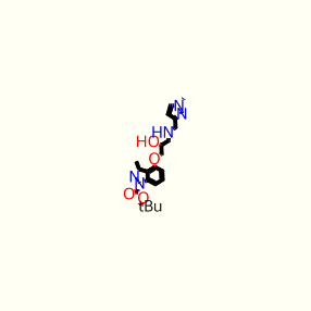 Cc1nn(C(=O)OC(C)(C)C)c2cccc(OCC(O)CNCc3ccn(C)n3)c12